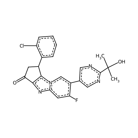 CC(C)(O)c1ncc(-c2cn3c4c(nc3cc2F)C(=O)CC4c2ccccc2Cl)cn1